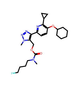 CN(CCCCF)C(=O)OCc1c(-c2ccc(OC3CCCCC3)c(C3CC3)n2)nnn1C